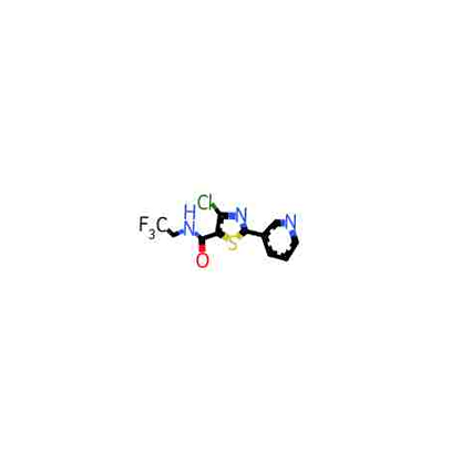 O=C(NCC(F)(F)F)c1sc(-c2cccnc2)nc1Cl